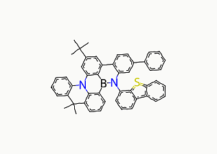 CC(C)(C)c1cc2c3c(c1)N1c4ccccc4C(C)(C)c4cccc(c41)B3N(c1cccc3c1sc1ccccc13)c1cc(-c3ccccc3)ccc1-2